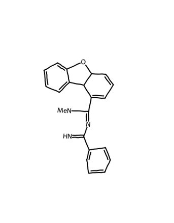 CN/C(=N\C(=N)c1ccccc1)C1=CC=CC2Oc3ccccc3C12